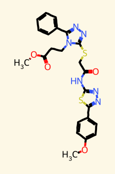 COC(=O)CCn1c(SCC(=O)Nc2nnc(-c3ccc(OC)cc3)s2)nnc1-c1ccccc1